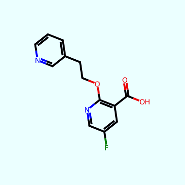 O=C(O)c1cc(F)cnc1OCCc1cccnc1